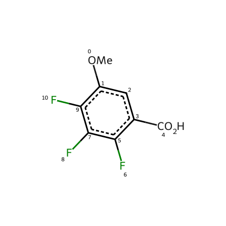 COc1cc(C(=O)O)c(F)c(F)c1F